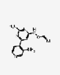 Cc1nc(BOC=N)cc(-c2ccncc2N)n1